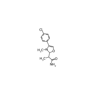 CC(C(N)=O)C1OC=C(c2ccc(Cl)cc2)N1C